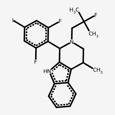 CC1CN(CC(C)(C)F)C(c2c(F)cc(I)cc2F)c2[nH]c3ccccc3c21